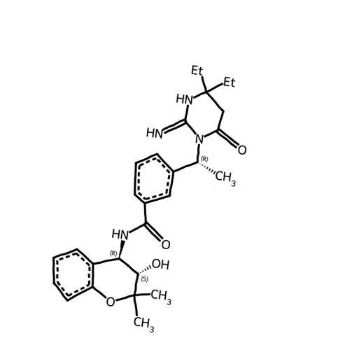 CCC1(CC)CC(=O)N([C@H](C)c2cccc(C(=O)N[C@@H]3c4ccccc4OC(C)(C)[C@H]3O)c2)C(=N)N1